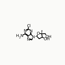 C[C@]1(CO)O[C@@H](n2cnc3c(N)nc(Cl)nc32)CC1O